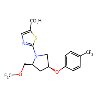 O=C(O)c1cnc(N2C[C@@H](Oc3ccc(C(F)(F)F)cc3)C[C@H]2COC(F)(F)F)s1